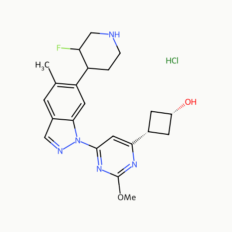 COc1nc(-n2ncc3cc(C)c(C4CCNCC4F)cc32)cc([C@H]2C[C@@H](O)C2)n1.Cl